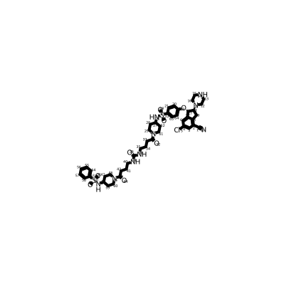 N#Cc1cc(Cl)cc2c1C[C@H](N1CCNCC1)[C@H]2Oc1ccc(S(=O)(=O)NC2CCN(C(=O)CCCNC(=O)NCCCC(=O)N3CCC(NS(=O)(=O)c4ccccc4)CC3)CC2)cc1